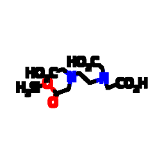 O=C(O)CN(CCN(CC(=O)O)CC(=O)O[SiH3])CC(=O)O